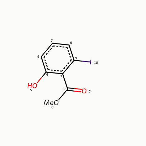 COC(=O)c1c(O)cccc1I